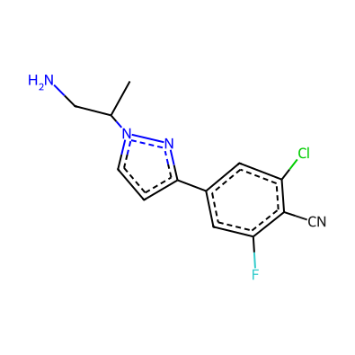 CC(CN)n1ccc(-c2cc(F)c(C#N)c(Cl)c2)n1